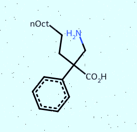 CCCCCCCCCCC(CN)(C(=O)O)c1ccccc1